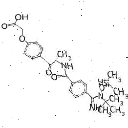 C[C@H](NC(=O)c1ccc(C(=N)N(O[SiH](C)C)C(C)(C)C)cc1)C(=O)c1ccc(OCC(=O)O)cc1